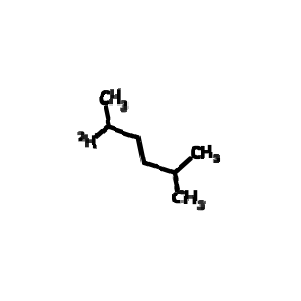 [2H]C(C)CCC(C)C